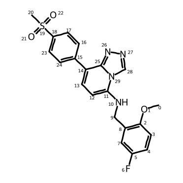 COc1ccc(F)cc1CNc1ccc(-c2ccc(S(C)(=O)=O)cc2)c2nncn12